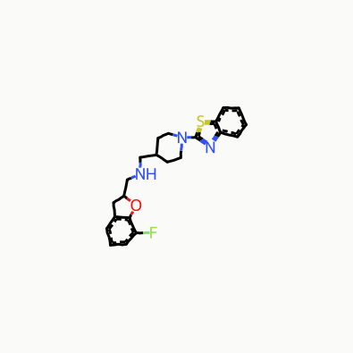 Fc1cccc2c1OC(CNCC1CCN(c3nc4ccccc4s3)CC1)C2